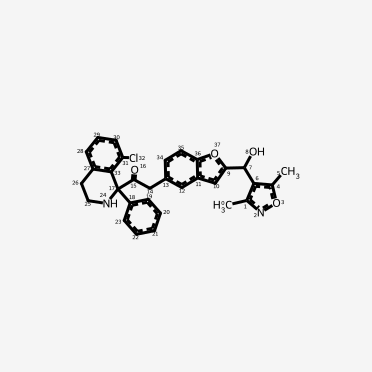 Cc1noc(C)c1C(O)c1cc2cc(CC(=O)C3(c4ccccc4)NCCc4cccc(Cl)c43)ccc2o1